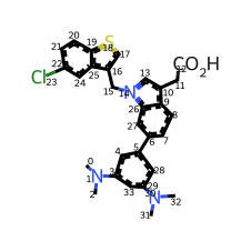 CN(C)c1cc(-c2ccc3c(CC(=O)O)cn(Cc4csc5ccc(Cl)cc45)c3c2)cc(N(C)C)c1